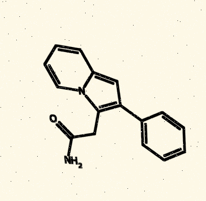 NC(=O)Cc1c(-c2ccccc2)cc2ccccn12